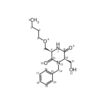 CCCCOC[C@H]1NC(=O)[C@@H](CO)N(Cc2ccccc2)C1=O